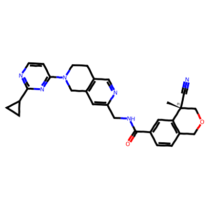 C[C@@]1(C#N)COCc2ccc(C(=O)NCc3cc4c(cn3)CCN(c3ccnc(C5CC5)n3)C4)cc21